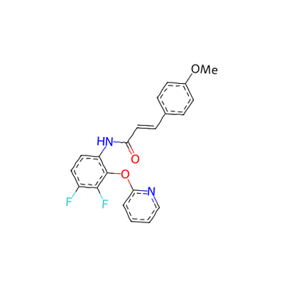 COc1ccc(/C=C/C(=O)Nc2ccc(F)c(F)c2Oc2ccccn2)cc1